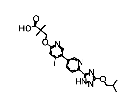 Cc1cc(OCC(C)(C)C(=O)O)ncc1-c1ccc(-c2nc(OCC(C)C)n[nH]2)nc1